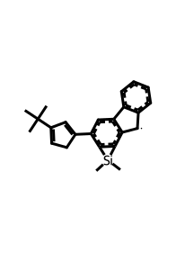 CC(C)(C)C1=CCC(c2cc3c(c4c2[Si]4(C)C)[CH]c2ccccc2-3)=C1